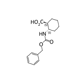 O=C(N[C@H]1CCCC[C@@H]1C(=O)O)OCc1ccccc1